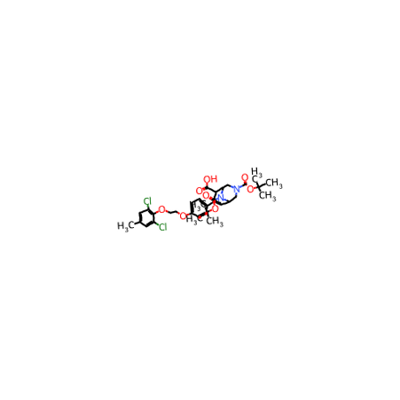 Cc1cc(Cl)c(OCCOc2ccc(C3=CC4CN(C(=O)OC(C)(C)C)CC(C3C(=O)O)N4C(=O)OC(C)(C)C)cc2)c(Cl)c1